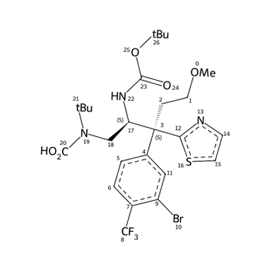 COCC[C@@](c1ccc(C(F)(F)F)c(Br)c1)(c1nccs1)[C@@H](CN(C(=O)O)C(C)(C)C)NC(=O)OC(C)(C)C